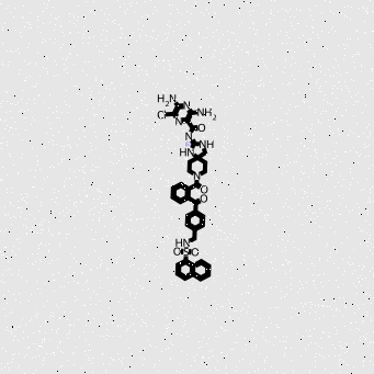 Nc1nc(N)c(C(=O)/N=C2\NCC3(CCN(C(=O)c4ccccc4C(=O)c4ccc(CNS(=O)(=O)c5cccc6ccccc56)cc4)CC3)N2)nc1Cl